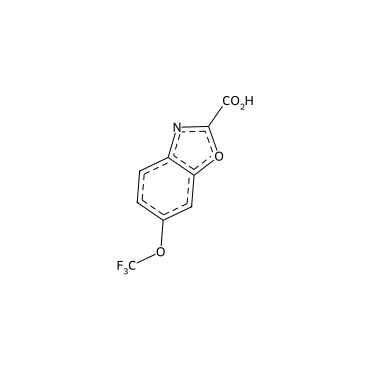 O=C(O)c1nc2ccc(OC(F)(F)F)cc2o1